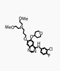 COCCN(CCCOc1cc2ncnc(Nc3ccc(F)c(Cl)c3)c2cc1OC1CCOCC1)CCOC